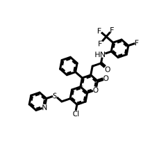 O=C(Cc1c(-c2ccccc2)c2cc(CSc3ccccn3)c(Cl)cc2oc1=O)Nc1ccc(F)cc1C(F)(F)F